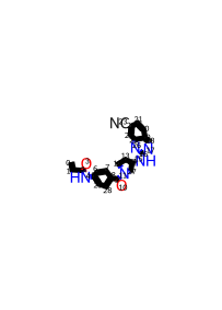 C=CC(=O)Nc1ccc(C(=O)N2CC[C@H](Nc3ncc4ccc(C#N)cc4n3)C2)cc1